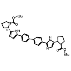 CC(C)(C)OC(=O)N1CCCC1c1cnc(-c2ccc(-c3ccc(-c4cnc([C@@H]5CCCN5C(=O)OC(C)(C)C)[nH]4)cc3)cc2)[nH]1